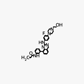 C=CC(=O)Nc1cccc(-c2cccc3cnc(Nc4ccc(N5CCN(CCO)CC5)c(F)c4)nc23)c1